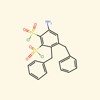 Nc1cc(Cc2ccccc2)c(Cc2ccccc2)c(S(=O)(=O)Cl)c1S(=O)(=O)Cl